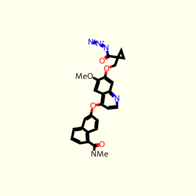 CNC(=O)c1cccc2cc(Oc3ccnc4cc(OCC5(C(=O)N=[N+]=[N-])CC5)c(OC)cc34)ccc12